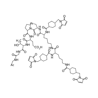 CC(=O)CNC(=O)CNC(=O)C(NC(=O)C(CCC(=O)O)NC(=O)C1CCCN1C(=O)C(CC(C)C)NC(=O)C(CCCCNC(=O)C(CCCCNC(=O)C1CCC(CN2C(=O)C=CC2=O)CC1)NC(=O)C1CCC(CN2C(=O)C=CC2=O)CC1)NC(=O)C1CCC(CN2C(=O)C=CC2=O)CC1)C(C)O